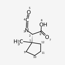 CC1([C@H](N=C=O)C(=O)O)CCCC1